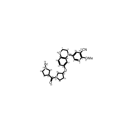 COc1ncc(N2CCOc3ccc(OC4CCN(C(=O)C5CCN(C(C)=O)C5)C4)cc32)cc1C#N